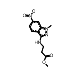 COC(=O)CCNc1nn(C)c2cc([N+](=O)[O-])ccc12